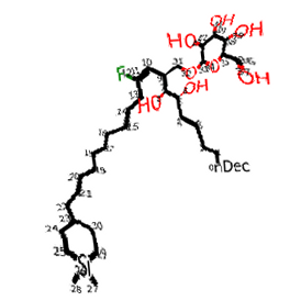 CCCCCCCCCCCCCC[C@@H](O)[C@@H](O)[C@@H](/C=C(/F)CCCCCCCCCCC1CC[Si](C)(C)CC1)COC1OC(CO)C(O)C(O)C1O